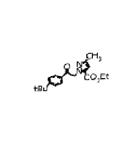 CCOC(=O)c1cc(C)nn1CC(=O)c1ccc(C(C)(C)C)cc1